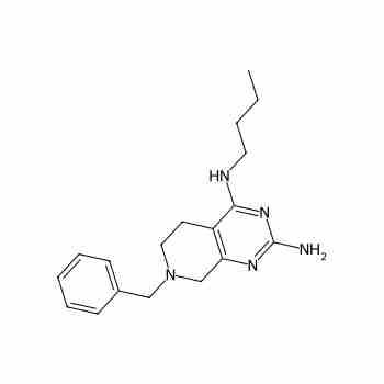 CCCCNc1nc(N)nc2c1CCN(Cc1ccccc1)C2